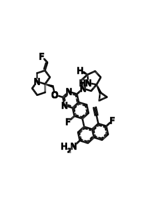 C#Cc1c(F)ccc2cc(N)cc(-c3ccc4c(N5C[C@@H]6CC[C@](C7CC7)(C5)N6)nc(OC[C@@]56CCCN5C/C(=C\F)C6)nc4c3F)c12